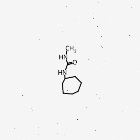 CNC(=O)NC1CCCCCC1